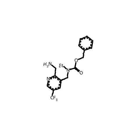 CCN(Cc1cc(C(F)(F)F)cnc1CN)C(=O)OCc1ccccc1